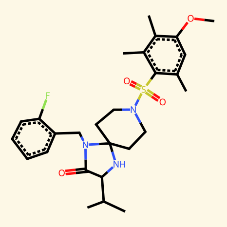 COc1cc(C)c(S(=O)(=O)N2CCC3(CC2)NC(C(C)C)C(=O)N3Cc2ccccc2F)c(C)c1C